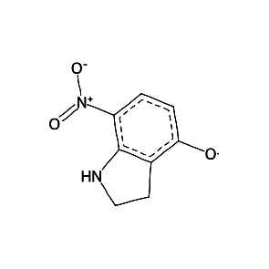 [O]c1ccc([N+](=O)[O-])c2c1CCN2